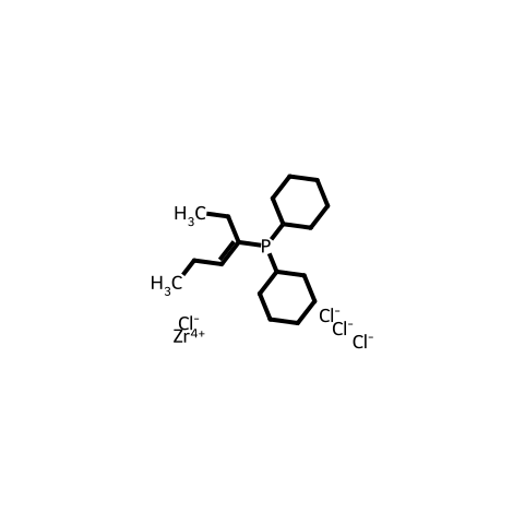 CCC=C(CC)P(C1CCCCC1)C1CCCCC1.[Cl-].[Cl-].[Cl-].[Cl-].[Zr+4]